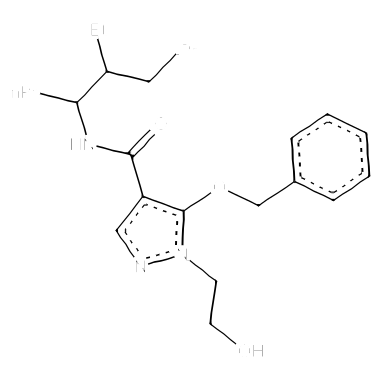 CCCC(NC(=O)c1cnn(CCO)c1OCc1ccccc1)C(CC)CC(C)C